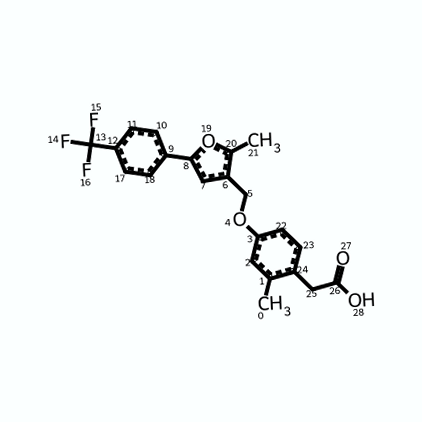 Cc1cc(OCc2cc(-c3ccc(C(F)(F)F)cc3)oc2C)ccc1CC(=O)O